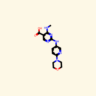 CNc1nc(Nc2ccc(N3CCOCC3)nc2)ncc1C(=O)O